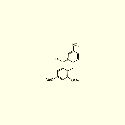 CCON1C=C([N+](=O)[O-])C=CC1Cc1ccc(OC)cc1OC